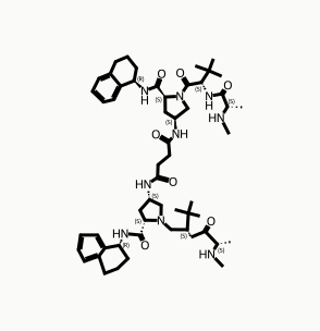 CN[C@@H](C)C(=O)C[C@H](CN1C[C@@H](NC(=O)CCC(=O)N[C@H]2C[C@@H](C(=O)N[C@@H]3CCCc4ccccc43)N(C(=O)[C@@H](NC(=O)[C@H](C)NC)C(C)(C)C)C2)C[C@H]1C(=O)N[C@@H]1CCCc2ccccc21)C(C)(C)C